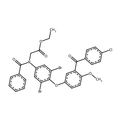 CCOC(=O)CN(C(=O)c1ccccc1)c1cc(Br)c(Oc2ccc(OC)c(C(=O)c3ccc(Cl)cc3)c2)c(Br)c1